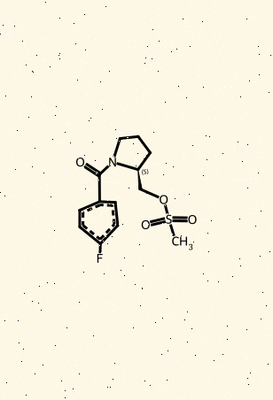 CS(=O)(=O)OC[C@@H]1CCCN1C(=O)c1ccc(F)cc1